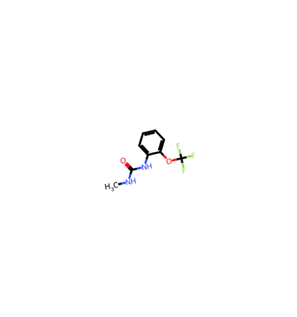 CNC(=O)Nc1ccccc1OC(F)(F)F